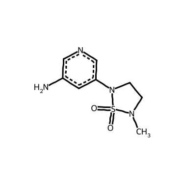 CN1CCN(c2cncc(N)c2)S1(=O)=O